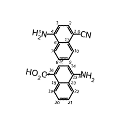 N#Cc1ccc(N)c2ccccc12.Nc1ccc(C(=O)O)c2ccccc12